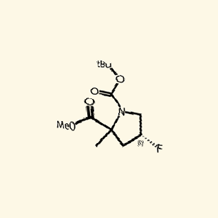 COC(=O)C1(C)C[C@@H](F)CN1C(=O)OC(C)(C)C